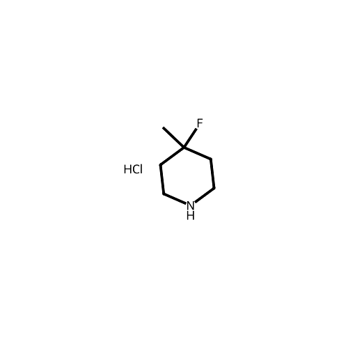 CC1(F)CCNCC1.Cl